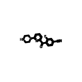 N#Cc1ccc(C(=O)c2cccc(N3CCNCC3)n2)c(F)c1